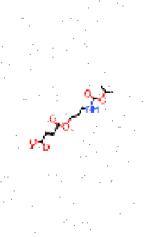 COC(=O)/C=C/C(=O)OCCCNC(=O)OC(C)C